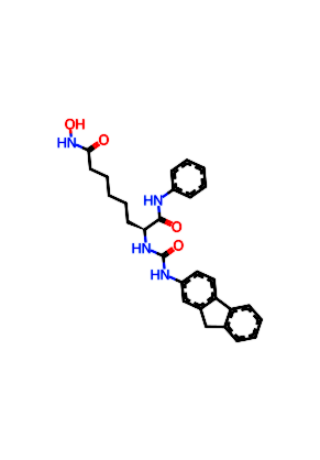 O=C(CCCCC[C@H](NC(=O)Nc1ccc2c(c1)Cc1ccccc1-2)C(=O)Nc1ccccc1)NO